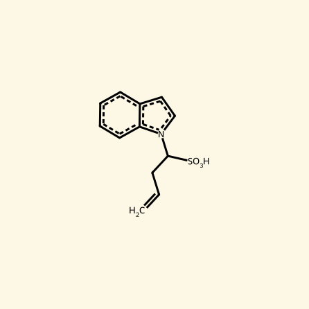 C=CCC(n1ccc2ccccc21)S(=O)(=O)O